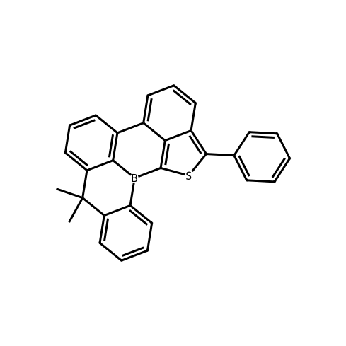 CC1(C)c2ccccc2B2c3c(cccc31)-c1cccc3c(-c4ccccc4)sc2c13